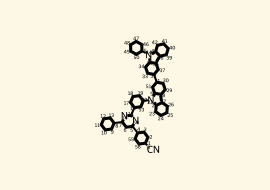 N#Cc1ccc(-c2cc(-c3ccccc3)nc(-c3cccc(-n4c5ccccc5c5ccc(-c6ccc7c(c6)c6ccccc6n7-c6ccccc6)cc54)c3)n2)cc1